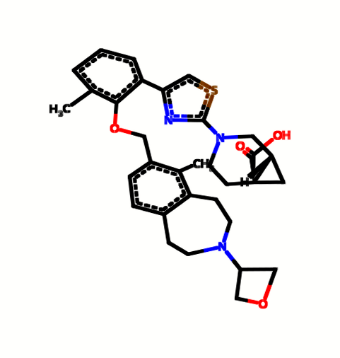 Cc1cccc(-c2csc(N3CC[C@@]4(C(=O)O)C[C@H]4C3)n2)c1OCc1ccc2c(c1C)CCN(C1COC1)CC2